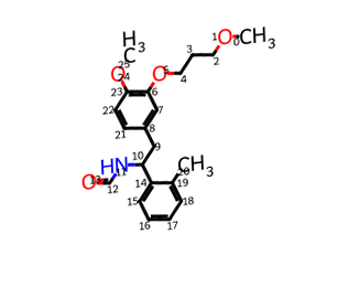 COCCCOc1cc(CC(NC=O)c2ccccc2C)ccc1OC